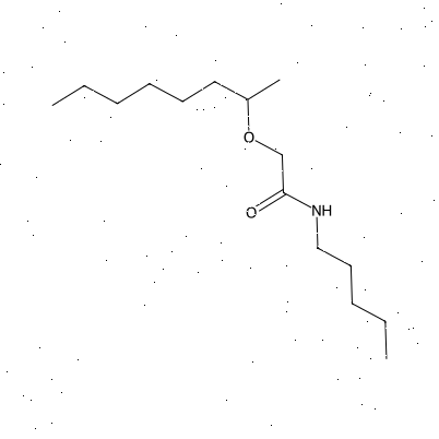 CCCCCCC(C)OCC(=O)NCCCCC